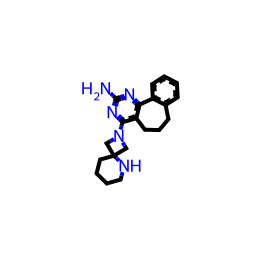 Nc1nc2c(c(N3CC4(CCCCN4)C3)n1)CCCc1ccccc1-2